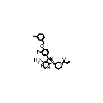 C=CC(=O)N1CCC[C@@H](n2nc(-c3ccc(OCc4cccc(F)c4)c(F)c3)c3c(N)ncnc32)C1